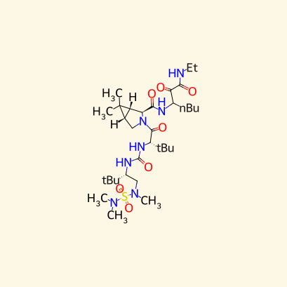 CCCCC(NC(=O)[C@@H]1[C@@H]2[C@H](CN1C(=O)[C@@H](NC(=O)N[C@H](CN(C)S(=O)(=O)N(C)C)C(C)(C)C)C(C)(C)C)C2(C)C)C(=O)C(=O)NCC